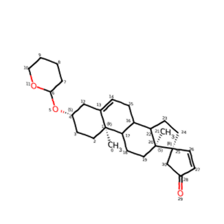 C[C@]12CC[C@H](OC3CCCCO3)CC1=CCC1C2CC[C@@]2(C)C1CC[C@@]21C=CC(=O)C1